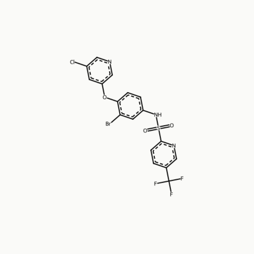 O=S(=O)(Nc1ccc(Oc2cncc(Cl)c2)c(Br)c1)c1ccc(C(F)(F)F)cn1